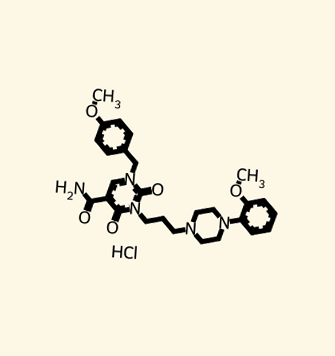 COc1ccc(Cn2cc(C(N)=O)c(=O)n(CCCN3CCN(c4ccccc4OC)CC3)c2=O)cc1.Cl